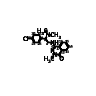 CN(C)C(CNc1nn(C)c(=O)c2ccccc12)c1ccc(Cl)cc1